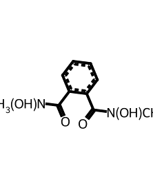 CN(O)C(=O)c1ccccc1C(=O)N(C)O